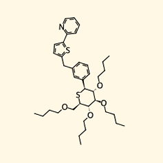 CCCCOC[C@H]1S[C@@H](c2cccc(Cc3ccc(-c4ccccn4)s3)c2)[C@H](OCCCC)[C@@H](OCCCC)[C@@H]1OCCCC